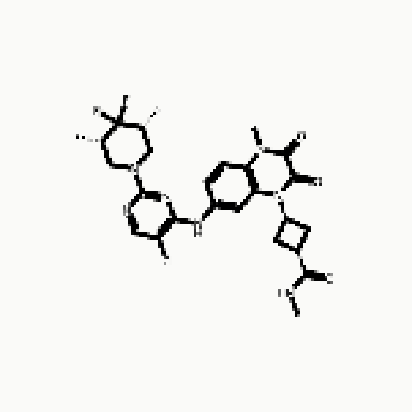 CNC(=O)[C@H]1C[C@@H](n2c(=O)c(=O)n(C)c3ccc(Nc4nc(N5C[C@@H](C)C(F)(F)[C@@H](C)C5)ncc4Cl)cc32)C1